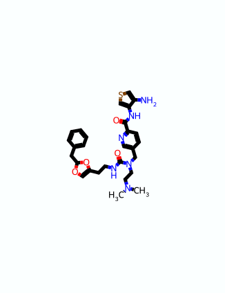 CN(C)CCN(Cc1ccc(C(=O)Nc2cscc2N)nc1)C(=O)NCCC1=COC(Cc2ccccc2)O1